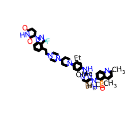 CCc1cc(Nc2ncc(Br)c(Nc3ccc4nc(C)ccc4c3P(C)(C)=O)n2)c(OC)cc1N1CCC(N2CCN(CCc3cccc4c3c(F)nn4C3CCC(=O)NC3=O)CC2)CC1